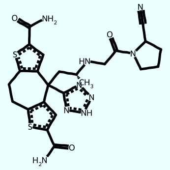 C[C@H](CC1(c2nn[nH]n2)c2cc(C(N)=O)sc2CCc2sc(C(N)=O)cc21)NCC(=O)N1CCCC1C#N